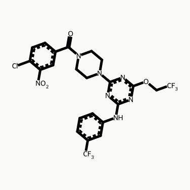 O=C(c1ccc(Cl)c([N+](=O)[O-])c1)N1CCN(c2nc(Nc3cccc(C(F)(F)F)c3)nc(OCC(F)(F)F)n2)CC1